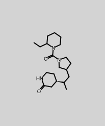 CCC1CCCCN1C(=O)N1CCC(CC(C)[C@@H]2CCNC(=O)C2)C1